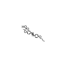 CCCCOc1ccc(N=Nc2ccc(OC(C)C(=O)O)cc2)cc1